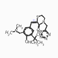 CN(C)Cc1cc(/C=C2/SCCN(Cc3nnn[nH]3)C2=O)cc(C(C)(C)C)c1O